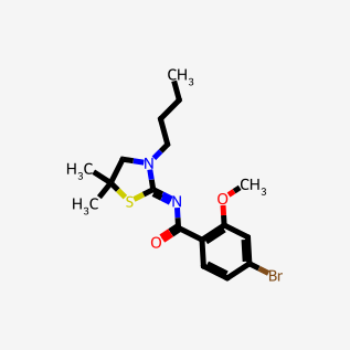 CCCCN1CC(C)(C)SC1=NC(=O)c1ccc(Br)cc1OC